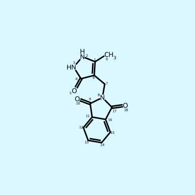 Cc1[nH][nH]c(=O)c1CN1C(=O)c2ccccc2C1=O